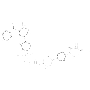 C=C1CCN(c2ccc(N3CCC(CN4CCC(C)(c5ccc(-c6cnc(N)c(C(=N)c7ccccc7)c6)cc5)CC4)CC3)cc2)C(=O)N1